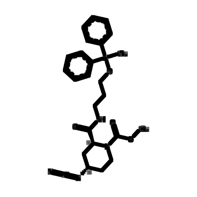 CC(C)(C)OC(=O)N1CC[C@H](N=[N+]=[N-])C[C@H]1C(=O)NCCCO[Si](c1ccccc1)(c1ccccc1)C(C)(C)C